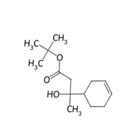 CC(C)(C)OC(=O)CC(C)(O)C1CC=CCC1